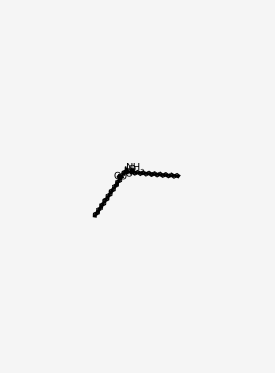 CCCCCCCCCCCCCCCCCC(=O)OCC(CN)OC(=O)CCCCCCCCCCCCCCCCC